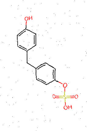 O=S(=O)(O)Oc1ccc(Cc2ccc(O)cc2)cc1